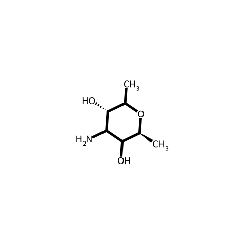 CC1O[C@@H](C)C(O)C(N)[C@@H]1O